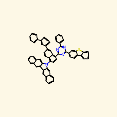 c1ccc(-c2cccc(-c3ccc4c(-n5c6cc7ccccc7cc6c6cc7ccccc7cc65)ccc(-c5nc(-c6ccccc6)nc(-c6ccc7c(c6)sc6ccccc67)n5)c4c3)c2)cc1